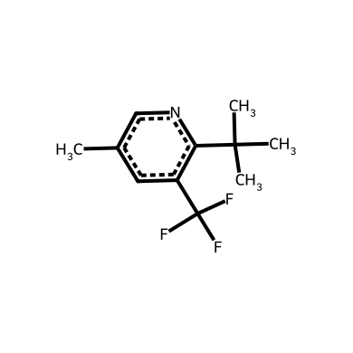 Cc1cnc(C(C)(C)C)c(C(F)(F)F)c1